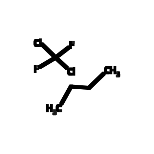 CCCC.FC(F)(Cl)Cl